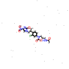 CC(=O)NCC1CN(c2ccc(C3COc4nc([N+](=O)[O-])cn4C3)c(F)c2)C(=O)O1